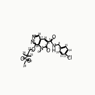 Cn1c(=O)c(C(=O)NCc2ccc(Cl)cc2)cc2cnnc(OCC(C)(C)S(C)(=O)=O)c21